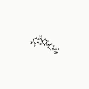 O=C1CCC(Nc2ccc(N3CCC(C(=O)O)CC3)cc2)C(=O)N1